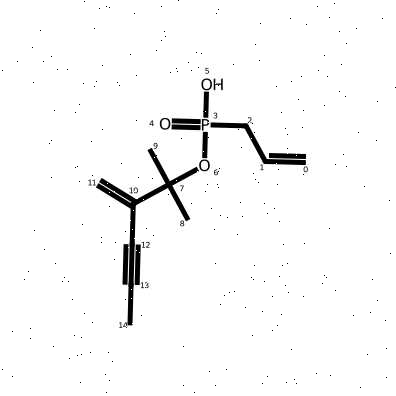 C=CCP(=O)(O)OC(C)(C)C(=C)C#CC